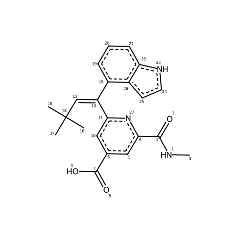 CNC(=O)c1cc(C(=O)O)cc(C(=CC(C)(C)C)c2cccc3[nH]ccc23)n1